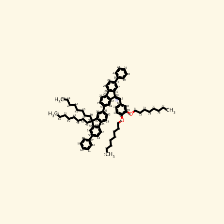 CCCCCCCCOc1ccc(/C=C2/c3cc(-c4ccccc4)ccc3-c3ccc(-c4ccc5c(c4)C(CCCCCCCC)(CCCCCCCC)c4cc(-c6ccccc6)ccc4-5)cc32)cc1OCCCCCCCC